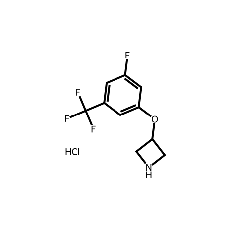 Cl.Fc1cc(OC2CNC2)cc(C(F)(F)F)c1